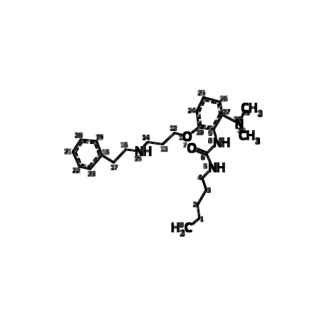 CCCCCNC(=O)Nc1c(OCCCNCCc2ccccc2)cccc1N(C)C